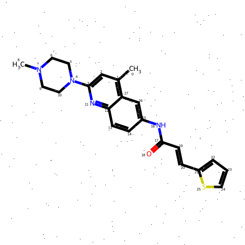 Cc1cc(N2CCN(C)CC2)nc2ccc(NC(=O)C=Cc3cccs3)cc12